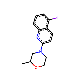 CC1CN(c2ccc3c(I)cccc3n2)CCO1